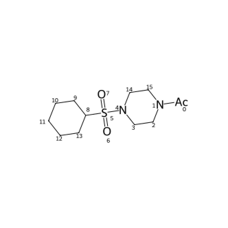 CC(=O)N1CCN(S(=O)(=O)C2CCCCC2)CC1